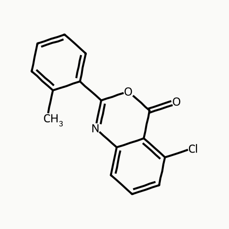 Cc1ccccc1-c1nc2cccc(Cl)c2c(=O)o1